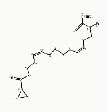 CCCCCC(=O)N(CC/C=C\CCCC/C=C\CCCC(=O)N1CC1)C(C)C